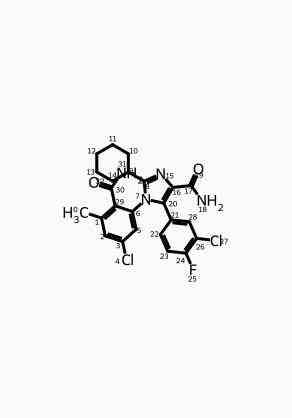 Cc1cc(Cl)cc(-n2c(C3CCCCC3)nc(C(N)=O)c2-c2ccc(F)c(Cl)c2)c1C(N)=O